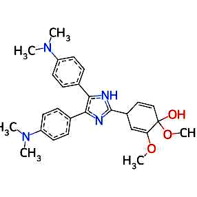 COC1=CC(c2nc(-c3ccc(N(C)C)cc3)c(-c3ccc(N(C)C)cc3)[nH]2)C=CC1(O)OC